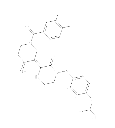 N=C1CCN(C(=O)c2ccc(Cl)c(Cl)c2)C/C1=C1/NCCN(Cc2ccc(OC(F)F)cc2)C1=O